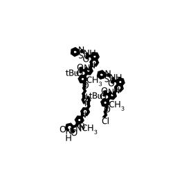 Cc1c(OCCCCl)cccc1-c1ccc(N2CCc3cccc(C(=O)Nc4nc5ccccc5s4)c3C2)nc1C(=O)OC(C)(C)C.Cc1c(OCCCN2CCN(CC3CCN(c4ccc5c(C6CCC(=O)NC6=O)nn(C)c5c4)CC3)CC2)cccc1-c1ccc(N2CCc3cccc(C(=O)Nc4nc5ccccc5s4)c3C2)nc1C(=O)OC(C)(C)C